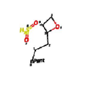 CCCCCCCC1CCO1.O=[SH2]=O